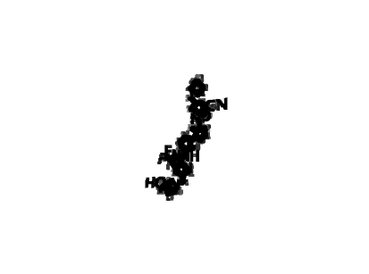 Cc1c(Nc2nc(C(F)F)nc3cc(CN4CC[C@](C)(O)C4)cnc23)cccc1-c1cccc(-c2nc3cc(CN4CCCCC4)cc(C#N)c3o2)c1C